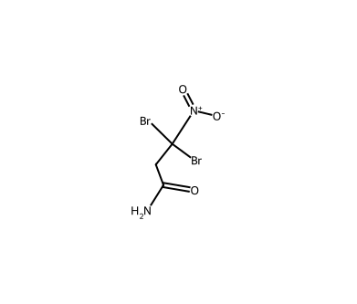 NC(=O)CC(Br)(Br)[N+](=O)[O-]